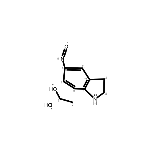 CCO.Cl.O=Nc1ccc2c(c1)CCN2